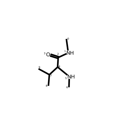 CNC(=O)C(NC)C(C)C